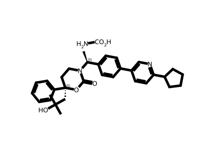 C[C@@H](c1ccc(-c2ccc(C3CCCC3)nc2)cc1)N1CC[C@](CC(C)(C)O)(c2ccccc2)OC1=O.NC(=O)O